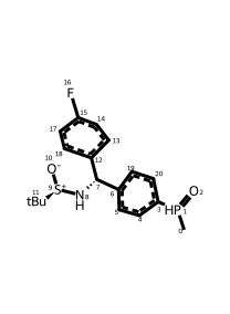 C[PH](=O)c1ccc([C@H](N[S@+]([O-])C(C)(C)C)c2ccc(F)cc2)cc1